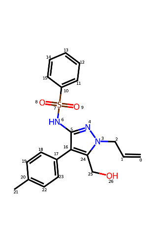 C=CCn1nc(NS(=O)(=O)c2ccccc2)c(-c2ccc(C)cc2)c1CO